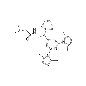 Cc1ccc(C)n1-c1cc(C(CNC(=O)CC(C)(C)C)c2ccccc2)cc(-n2c(C)ccc2C)n1